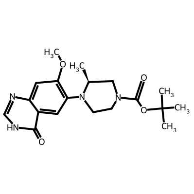 COc1cc2nc[nH]c(=O)c2cc1N1CCN(C(=O)OC(C)(C)C)C[C@@H]1C